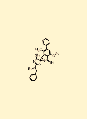 CCOc1cc(-c2ccccc2)c(C)c2c1C(=N)N1C2C12SC(N(CC)Cc1ccccc1)=NC2=N